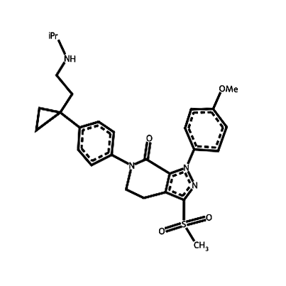 COc1ccc(-n2nc(S(C)(=O)=O)c3c2C(=O)N(c2ccc(C4(CCNC(C)C)CC4)cc2)CC3)cc1